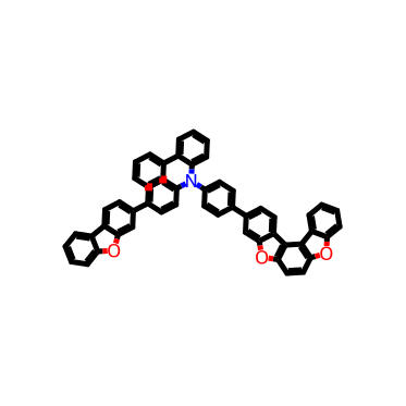 c1ccc(-c2ccccc2N(c2ccc(-c3ccc4c(c3)oc3ccccc34)cc2)c2ccc(-c3ccc4c(c3)oc3ccc5oc6ccccc6c5c34)cc2)cc1